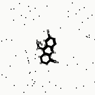 COc1c2c(nc3ccc(F)cc13)C(=O)CCC2